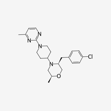 Cc1ccnc(N2CCC(N3C[C@H](C)OC[C@@H]3Cc3ccc(Cl)cc3)CC2)n1